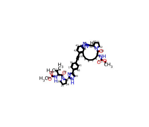 COC(=O)N[C@H]1CCCCCc2c(C#Cc3ccc(-c4c[nH]c([C@@H]5CCCN5C(=O)[C@@H](NC(=O)OC)C(C)C)n4)cc3)ccc3nc([nH]c23)[C@@H]2CCCN2C1=O